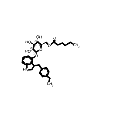 CCCCCC(=O)OC[C@H]1O[C@@H](Oc2cccc3c2C(Cc2ccc(CC)cc2)CN3)[C@H](O)[C@@H](O)[C@@H]1O